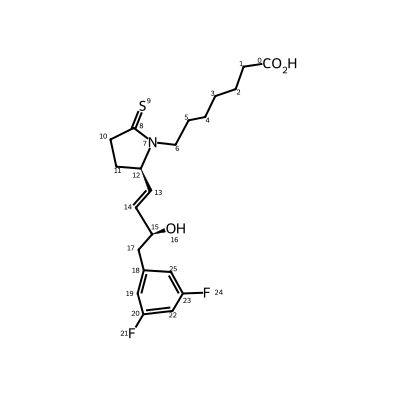 O=C(O)CCCCCCN1C(=S)CC[C@@H]1/C=C/[C@@H](O)Cc1cc(F)cc(F)c1